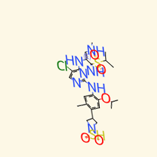 CN/C=C(/Nc1nc(Nc2cc(C)c(C3CN([SH](=O)=O)C3)cc2OC(C)C)ncc1Cl)C(=N)S(=O)(=O)C(C)C